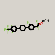 CCO/C(F)=C(\F)c1ccc(C2CCC(c3cc(F)c(C(F)(F)F)c(F)c3)CC2)c(F)c1